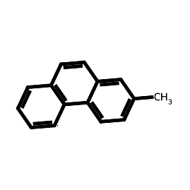 Cc1ccc2c(ccc3ccc[c]c32)c1